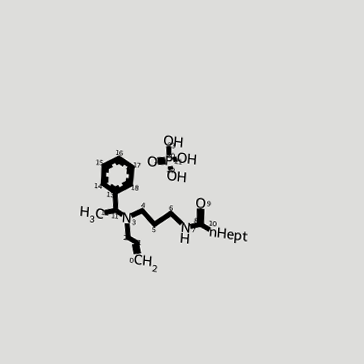 C=CCN(CCCNC(=O)CCCCCCC)C(C)c1ccccc1.O=P(O)(O)O